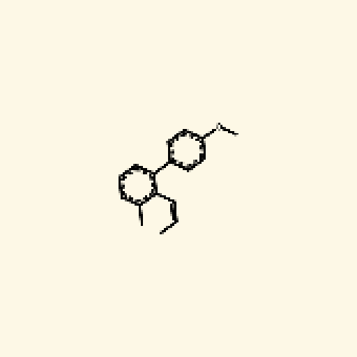 C/C=C\c1c(C)cccc1-c1ccc(OC)cc1